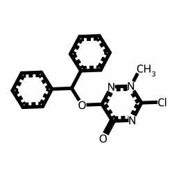 Cn1nc(OC(c2ccccc2)c2ccccc2)c(=O)nc1Cl